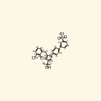 CCS(=O)(=O)c1cccc(-c2ccc(-n3cc(C(C)(C)O)nc3Cc3cccc(Cl)c3Cl)cc2)c1